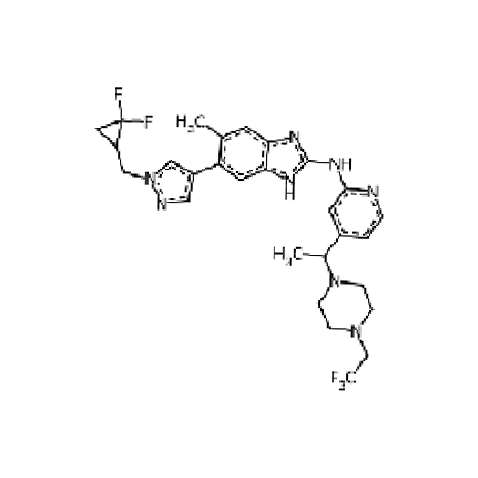 Cc1cc2nc(Nc3cc(C(C)N4CCN(CC(F)(F)F)CC4)ccn3)[nH]c2cc1-c1cnn(CC2CC2(F)F)c1